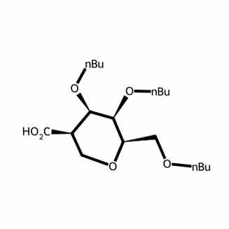 CCCCOC[C@H]1OC[C@@H](C(=O)O)[C@@H](OCCCC)[C@H]1OCCCC